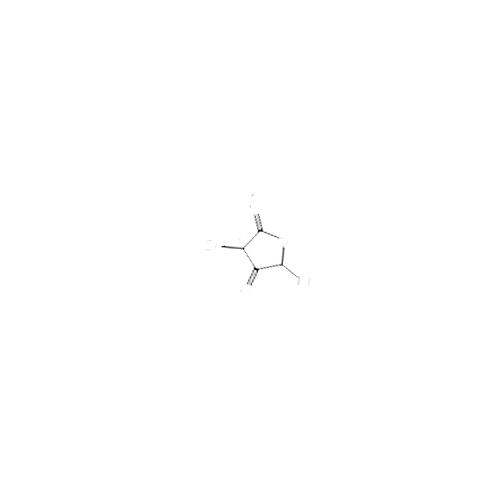 CCC1SC(=O)C(CC)C1=O